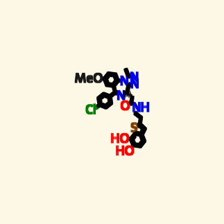 COc1ccc2c(c1)C(c1ccc(Cl)cc1)=N[C@@H](CC(=O)NCCc1cc3ccc(O)c(O)c3s1)c1nnc(C)n1-2